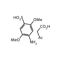 CC(=O)CC(=O)O.COc1cc(S(=O)(=O)O)c(OC)cc1N